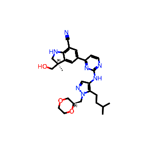 CC(C)CCc1c(Nc2nccc(-c3cc(C#N)c4c(c3)[C@@](C)(CO)CN4)n2)cnn1C[C@@H]1COCCO1